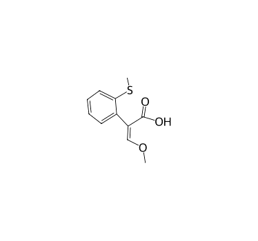 COC=C(C(=O)O)c1ccccc1SC